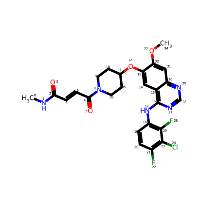 CNC(=O)C=CC(=O)N1CCC(Oc2cc3c(Nc4ccc(F)c(Cl)c4F)ncnc3cc2OC)CC1